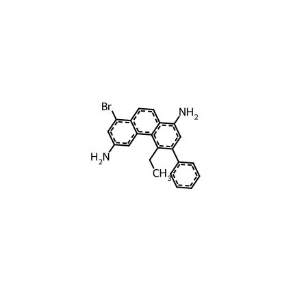 CCc1c(-c2ccccc2)cc(N)c2ccc3c(Br)cc(N)cc3c12